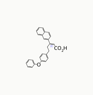 O=C(O)/C=C(\CCc1ccc(Oc2ccccc2)cc1)c1ccc2ccccc2c1